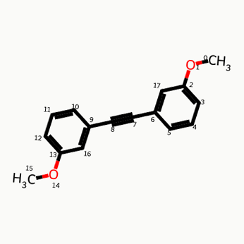 COc1cccc(C#Cc2cccc(OC)c2)c1